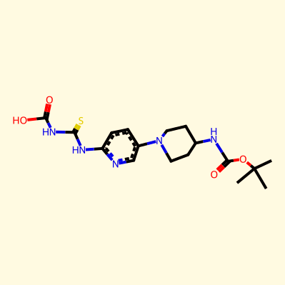 CC(C)(C)OC(=O)NC1CCN(c2ccc(NC(=S)NC(=O)O)nc2)CC1